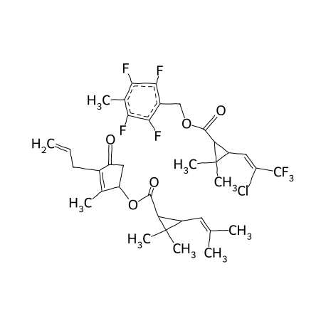 C=CCC1=C(C)C(OC(=O)C2C(C=C(C)C)C2(C)C)CC1=O.Cc1c(F)c(F)c(COC(=O)C2C(/C=C(\Cl)C(F)(F)F)C2(C)C)c(F)c1F